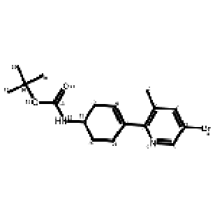 Cc1cc(Br)cnc1C1=CCC(NC(=O)OC(C)(C)C)CC1